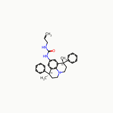 C=CCNC(=O)Nc1cc2c3c(c1)[C@](C)(c1ccccc1)CCN3CC[C@@]2(C)c1ccccc1